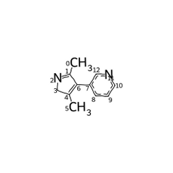 CC1=NCC(C)=C1c1cccnc1